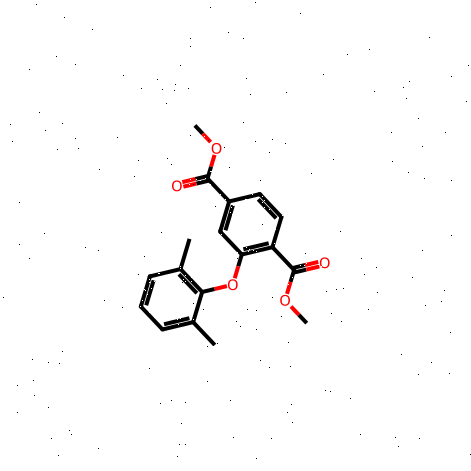 COC(=O)c1ccc(C(=O)OC)c(Oc2c(C)cccc2C)c1